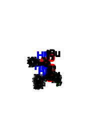 CC(C)(C)NC(=O)CC[C@H](NC(=O)CCc1ccccc1)C(=O)N[C@@H](Cc1ccc(F)cc1)C(=O)NCc1cccc2ccccc12